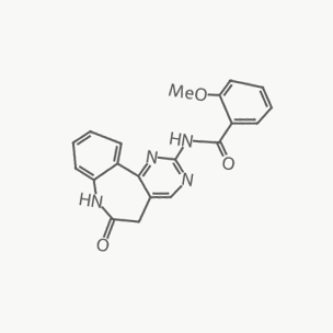 COc1ccccc1C(=O)Nc1ncc2c(n1)-c1ccccc1NC(=O)C2